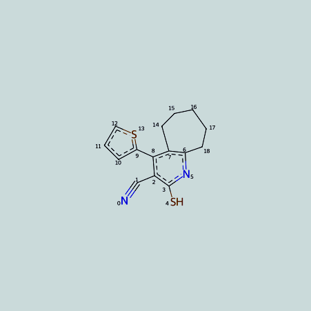 N#Cc1c(S)nc2c(c1-c1cccs1)CCCCC2